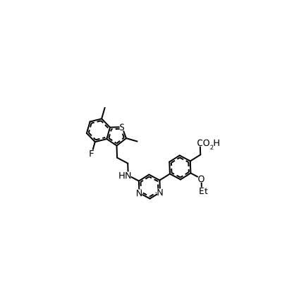 CCOc1cc(-c2cc(NCCc3c(C)sc4c(C)ccc(F)c34)ncn2)ccc1CC(=O)O